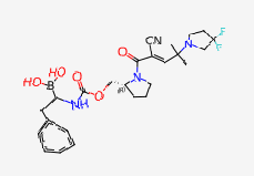 CC(C)(C=C(C#N)C(=O)N1CCC[C@@H]1COC(=O)NC(Cc1ccccc1)B(O)O)N1CCC(F)(F)C1